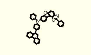 c1ccc(-c2nc3ccc4oc5cc(N(c6ccccc6)c6ccc(-c7cc8ccccc8c8ccccc78)cc6)ccc5c4c3o2)cc1